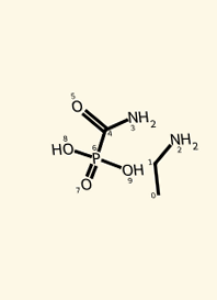 CCN.NC(=O)P(=O)(O)O